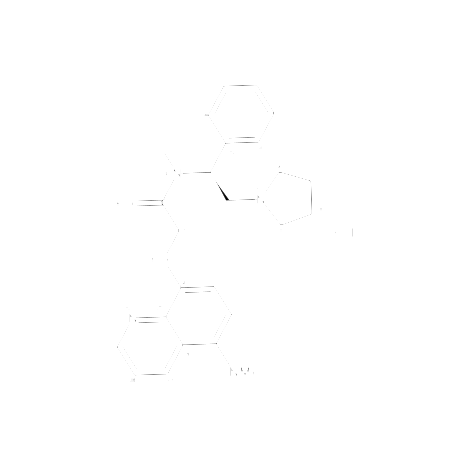 CNc1ccc(OCC(=O)N(C)[C@H](CN2CC[C@H](O)C2)c2ccccc2)c2ncccc12